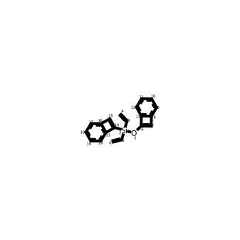 C=C[Si](C=C)(OC1=Cc2ccccc21)C1=Cc2ccccc21